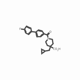 O=C(c1ccc(-c2ccc(F)cc2)cc1)N1CCC(CC2CC2)(C(=O)O)CC1